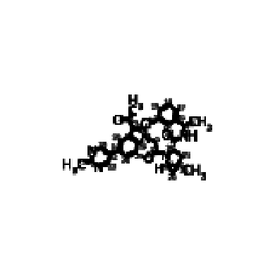 CC(=O)c1nn(CC(=O)N2[C@H](C(=O)NC(C)c3cccc(Cl)c3)C[C@@]3(C)C[C@@H]23)c2ccc(-c3cnc(C)nc3)cc12